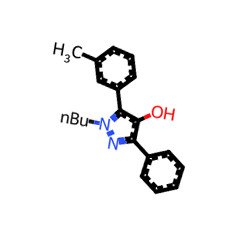 CCCCn1nc(-c2ccccc2)c(O)c1-c1cccc(C)c1